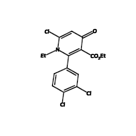 CCOC(=O)c1c(-c2ccc(Cl)c(Cl)c2)n(CC)c(Cl)cc1=O